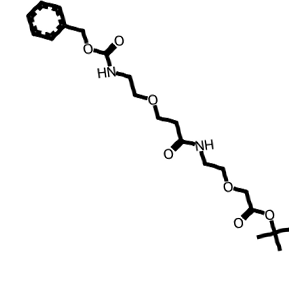 CC(C)(C)OC(=O)COCCNC(=O)CCOCCNC(=O)OCc1ccccc1